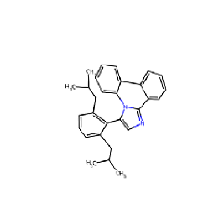 CC(C)Cc1cccc(CC(C)C)c1-c1cnc2c3ccccc3c3ccccc3n12